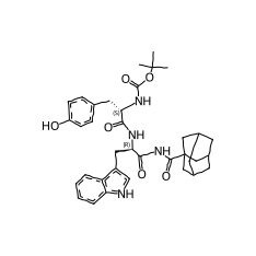 CC(C)(C)OC(=O)N[C@@H](Cc1ccc(O)cc1)C(=O)N[C@H](Cc1c[nH]c2ccccc12)C(=O)NC(=O)C12CC3CC(CC(C3)C1)C2